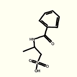 CC(CS(=O)(=O)O)NC(=O)c1ccccc1